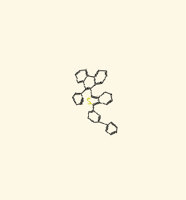 c1cccc(-c2c(-c3sc(-c4cccc(-c5ccccc5)c4)c4c3CCC=C4)c3ccccc3c3ccccc23)c#1